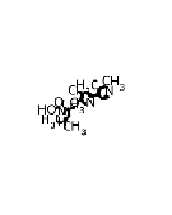 Cc1nccc(-c2cc(Cl)c(OCC(C)(CC(C)C)NC(=O)O)cn2)c1C